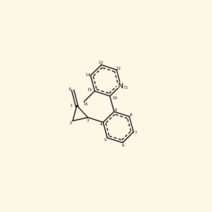 C=C1CC1c1ccccc1-c1ncccc1C